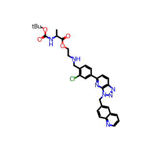 CC(NC(=O)OC(C)(C)C)C(=O)OCCNCc1ccc(-c2ccc3nnn(Cc4ccc5ncccc5c4)c3n2)cc1Cl